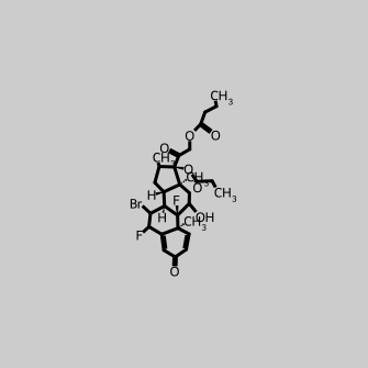 CCCC(=O)OCC(=O)[C@@]1(OC(=O)CC)C(C)C[C@H]2[C@@H]3C(Br)C(F)C4=CC(=O)C=C[C@]4(C)[C@@]3(F)C(O)C[C@@]21C